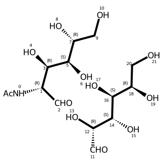 CC(=O)N[C@@H](C=O)[C@@H](O)[C@H](O)[C@H](O)CO.O=C[C@H](O)[C@@H](O)[C@@H](O)[C@H](O)CO